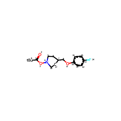 CC(C)(C)C(=O)ON1CCC(COc2ccc(F)cc2)CC1